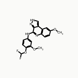 COc1ccc2nc(Nc3ccc(OC(F)F)c(OC)c3)c3n[nH]cc3c2c1